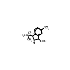 C[N+](C)(C)C1NC(C=O)c2cc([N+](=O)[O-])ccc21